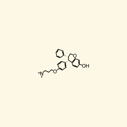 CN(C)CCCOc1ccc([C@H]2c3ccc(O)cc3OC[C@H]2c2ccccc2)cc1